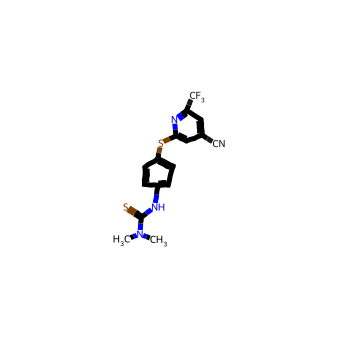 CN(C)C(=S)Nc1ccc(Sc2cc(C#N)cc(C(F)(F)F)n2)cc1